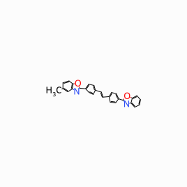 Cc1ccc2oc(-c3ccc(C=Cc4ccc(-c5nc6ccccc6o5)cc4)cc3)nc2c1